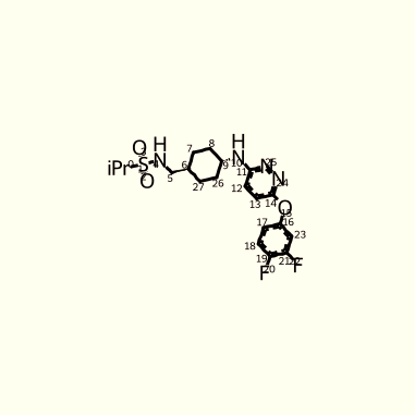 CC(C)S(=O)(=O)NC[C@H]1CC[C@H](Nc2ccc(Oc3ccc(F)c(F)c3)nn2)CC1